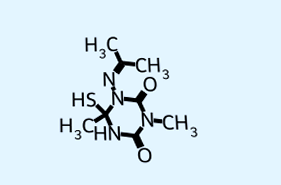 CC(C)=NN1C(=O)N(C)C(=O)NC1(C)S